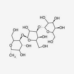 C[C@@H]1OC(CO)[C@@H](O[C@@H]2OC(CO)[C@H](O)[C@H](O[C@H]3OC(CO)[C@H](O)[C@H](O)C3O)C2O)[C@H](O)C1O